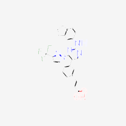 O=C(O)C=Cc1cccc(-c2cnc(Nc3ccc4c(c3)CCC4)nc2-n2ccc(C(F)(F)F)n2)c1